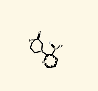 O=C1CN(c2ncccc2[N+](=O)[O-])CCN1